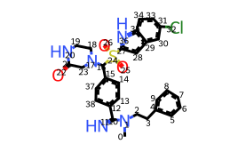 CN(CCc1ccccc1)C(=N)c1ccc(C(N2CCNC(=O)C2)S(=O)(=O)c2cc3cc(Cl)ccc3[nH]2)cc1